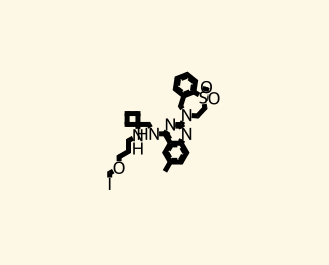 Cc1ccc2nc(N3CCS(=O)(=O)c4ccccc4C3)nc(NCC3(NCCCOCI)CCC3)c2c1